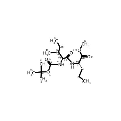 CCC[C@H](NC(=O)[C@@H](NC(=O)OC(C)(C)C)[C@@H](C)CC)C(=O)OC